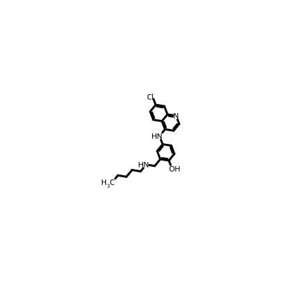 CCCCCNCc1cc(Nc2ccnc3cc(Cl)ccc23)ccc1O